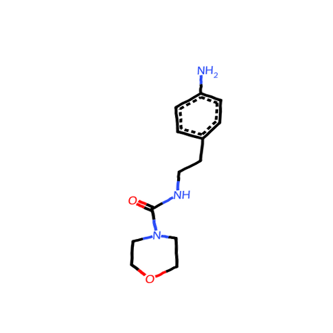 Nc1ccc(CCNC(=O)N2CCOCC2)cc1